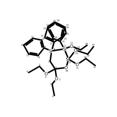 CCOC1(OCC)C[Si](c2ccccc2)(c2ccccc2)[Si](OCC)(c2ccccc2)[Si](OCC)(OCC)O1